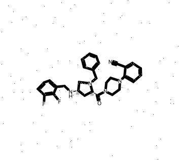 N#Cc1ccccc1N1CCN(C(=O)[C@@H]2C[C@H](NCc3cccc(F)c3F)CN2Cc2ccccc2)CC1